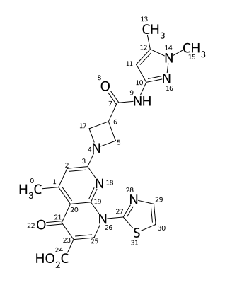 Cc1cc(N2CC(C(=O)Nc3cc(C)n(C)n3)C2)nc2c1c(=O)c(C(=O)O)cn2-c1nccs1